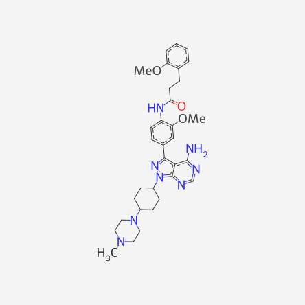 COc1ccccc1CCC(=O)Nc1ccc(-c2nn(C3CCC(N4CCN(C)CC4)CC3)c3ncnc(N)c23)cc1OC